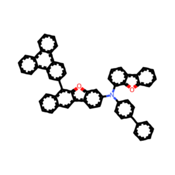 c1ccc(-c2ccc(N(c3ccc4c(c3)oc3c(-c5ccc6c7ccccc7c7ccccc7c6c5)c5ccccc5cc34)c3cccc4c3oc3ccccc34)cc2)cc1